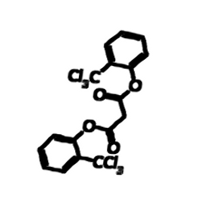 O=C(CC(=O)Oc1ccccc1C(Cl)(Cl)Cl)Oc1ccccc1C(Cl)(Cl)Cl